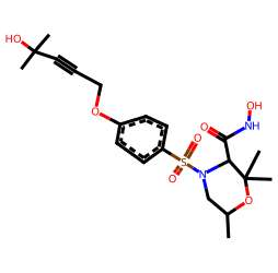 CC1CN(S(=O)(=O)c2ccc(OCC#CC(C)(C)O)cc2)C(C(=O)NO)C(C)(C)O1